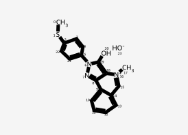 CSc1ccc(-n2nc3c4ccccc4c[n+](C)c3c2O)cc1.[OH-]